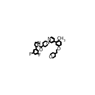 Cc1ccc(OCCC2CCOCC2)cc1-c1ccnc(N2CCC(C(=O)N3N=CCC3c3cc(F)cc(F)c3)CC2)c1